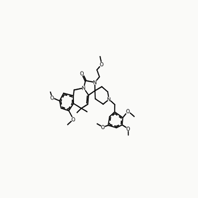 COCCN1C(=O)N2Cc3cc(OC)cc(OC)c3C(C)(C)C=C2C12CCN(Cc1cc(OC)cc(OC)c1OC)CC2